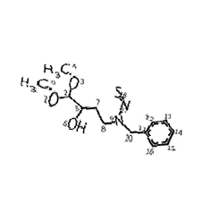 COC(OC)C(O)CCN(Cc1ccccc1)N=S